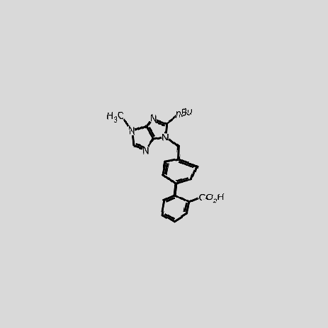 CCCCc1nc2c(ncn2C)n1Cc1ccc(-c2ccccc2C(=O)O)cc1